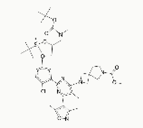 COC(=O)N1CCC2(C1)CN(c1nc(-c3cc(OCC(CN(C)C(=O)OC(C)(C)C)O[Si](C)(C)C(C)(C)C)ccc3Cl)nc(-c3c(C)noc3C)c1C)C2